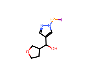 OC(c1cnn(PI)c1)C1CCOC1